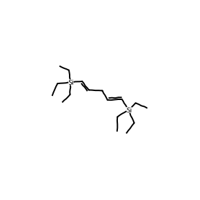 CC[Si](/C=C/C/C=C/[Si](CC)(CC)CC)(CC)CC